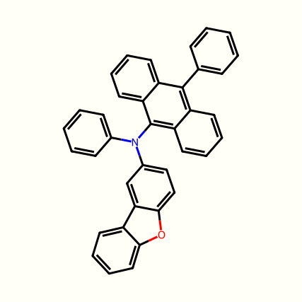 c1ccc(-c2c3ccccc3c(N(c3ccccc3)c3ccc4oc5ccccc5c4c3)c3ccccc23)cc1